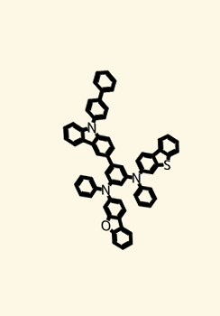 c1ccc(-c2ccc(-n3c4ccccc4c4cc(-c5cc(N(c6ccccc6)c6ccc7c(c6)oc6ccccc67)cc(N(c6ccccc6)c6ccc7c(c6)sc6ccccc67)c5)ccc43)cc2)cc1